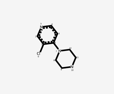 Clc1cnccc1N1CC[N]CC1